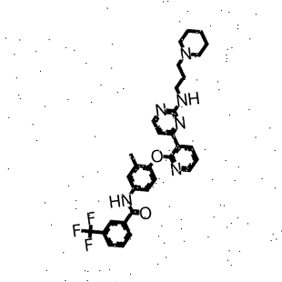 Cc1cc(NC(=O)c2cccc(C(F)(F)F)c2)ccc1Oc1ncccc1-c1ccnc(NCCCN2CCCCC2)n1